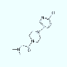 CN(C)CC(=O)N1CCN(c2ccc(Cl)nc2)CC1